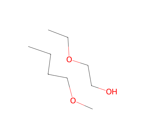 CCCCOC.CCOCCO